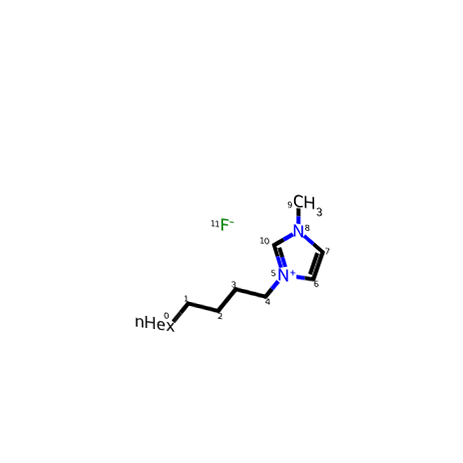 CCCCCCCCCC[n+]1ccn(C)c1.[F-]